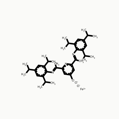 CC(=Nc1c(C(C)C)cc(C(C)C)cc1C(C)C)c1cc(Cl)cc(C(C)=Nc2c(C(C)C)cc(C(C)C)cc2C(C)C)n1.[Cl-].[Cl-].[Fe+2]